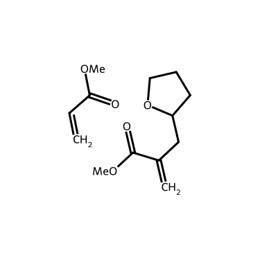 C=C(CC1CCCO1)C(=O)OC.C=CC(=O)OC